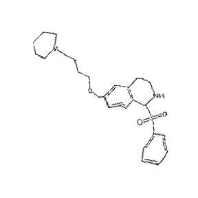 O=S(=O)(c1ccccc1)C1NCCc2cc(OCCCN3CCCCC3)ccc21